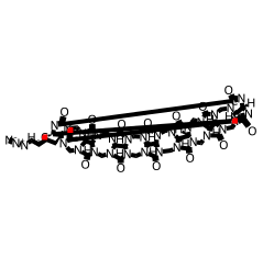 C[C@]12N3CN4C(=O)N5CN6C(=O)N7CN8C(=O)N9CN%10C(=O)N%11CN%12C(=O)N%13CN%14C(=O)N%15CN(C3=O)[C@@]1(CCCCN=[N+]=[N-])N1CN3C(=O)N(CN%16C(=O)N(CN%17C(=O)N(CN%18C(=O)N(CN%19C(=O)N(CN%20C(=O)N(CN2C1=O)[C@H]4[C@@H]%205)[C@H]6[C@@H]%197)[C@H]8[C@@H]%189)[C@H]%10[C@@H]%17%11)[C@H]%12[C@@H]%16%13)[C@H]%14[C@@H]3%15